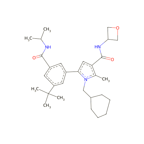 Cc1c(C(=O)NC2COC2)cc(-c2cc(C(=O)NC(C)C)cc(C(C)(C)C)c2)n1CC1CCCCC1